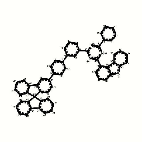 c1ccc(-c2nc(-c3cccc(-c4ccc(-c5ccc6c(c5)-c5ccccc5C65c6ccccc6-c6ccccc65)cc4)c3)nc(-c3cccc4sc5ccccc5c34)n2)cc1